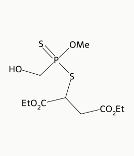 CCOC(=O)CC(SP(=S)(CO)OC)C(=O)OCC